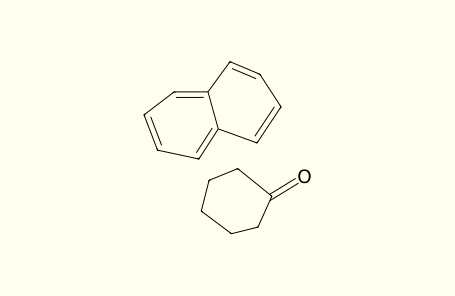 O=C1CCCCC1.c1ccc2ccccc2c1